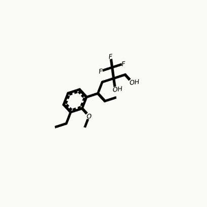 CCc1cccc(C(CC)CC(O)(CO)C(F)(F)F)c1OC